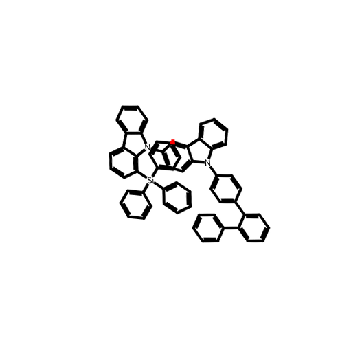 c1ccc(-c2ccccc2-c2ccc(-n3c4ccccc4c4cc(-n5c6ccccc6c6cccc([Si](c7ccccc7)(c7ccccc7)c7ccccc7)c65)ccc43)cc2)cc1